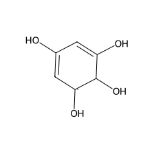 O[C]1C=C(O)C=C(O)C1O